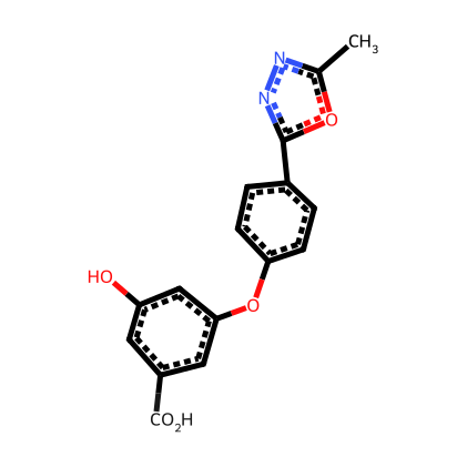 Cc1nnc(-c2ccc(Oc3cc(O)cc(C(=O)O)c3)cc2)o1